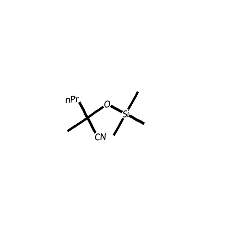 CCCC(C)(C#N)O[Si](C)(C)C